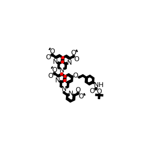 COC(=O)c1cccc(CN(Cc2cc(OCCC3=CC=C(NC(=O)OC(C)(C)C)CC3)cc(CN(Cc3cccc(C(=O)OC)n3)Cc3cccc(C(=O)OC)n3)n2)Cc2cccc(C(=O)OC)n2)n1